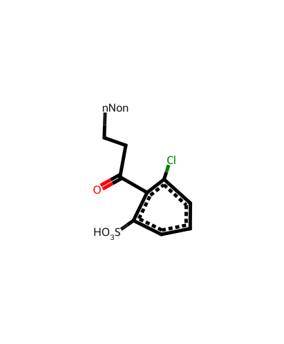 CCCCCCCCCCCC(=O)c1c(Cl)cccc1S(=O)(=O)O